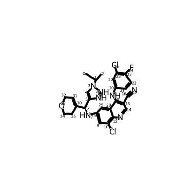 CC(C)N1C=C([C@@H](Nc2cc(Cl)c3ncc(C#N)c(Nc4ccc(F)c(Cl)c4)c3c2)C2=CCOCC2)NN1